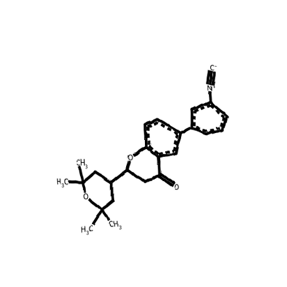 [C-]#[N+]c1cccc(-c2ccc3c(c2)C(=O)CC(C2CC(C)(C)OC(C)(C)C2)O3)c1